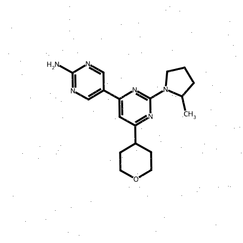 CC1CCCN1c1nc(-c2cnc(N)nc2)cc(C2CCOCC2)n1